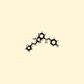 Fc1ccc(CNc2ccnc3[nH]c(CCc4ccco4)nc23)cc1